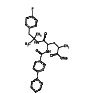 COC(=O)C(C)CC(NC(=O)c1ccc(-c2ccccn2)cc1)C(=O)NC(C)(C)Cc1ccc(F)cc1